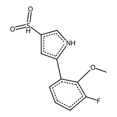 COc1c(F)cccc1-c1cc([SH](=O)=O)c[nH]1